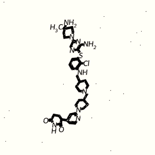 CC1(N)CCN(c2cnc(Sc3cccc(NCC4CCN(CC5CCN(c6cc(C7CCC(=O)NC7=O)ccn6)CC5)CC4)c3Cl)c(N)n2)CC1